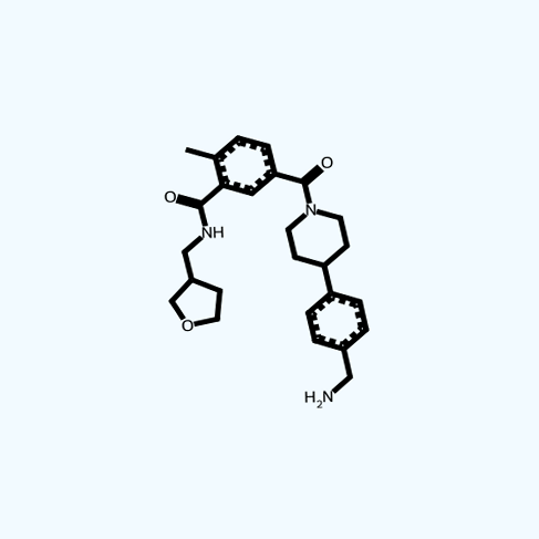 Cc1ccc(C(=O)N2CCC(c3ccc(CN)cc3)CC2)cc1C(=O)NCC1CCOC1